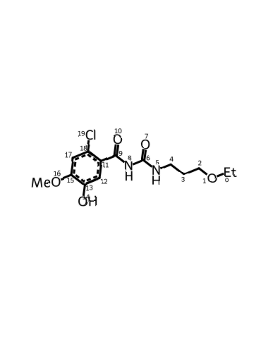 CCOCCCNC(=O)NC(=O)c1cc(O)c(OC)cc1Cl